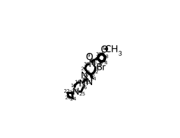 COc1ccc(Br)c(C(=O)N2CCc3cnc(N4CCN(C5CCC5)CC4)nc3CC2)c1